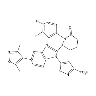 Cc1noc(C)c1-c1ccc2c(c1)nc(C1CCCC(=O)N1c1ccc(F)c(F)c1)n2-c1cc(C(=O)O)ns1